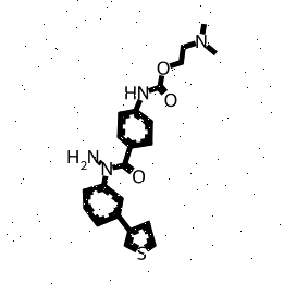 CN(C)CCOC(=O)Nc1ccc(C(=O)N(N)c2cccc(-c3ccsc3)c2)cc1